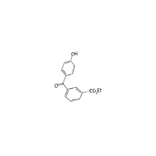 CCOC(=O)c1cccc(C(=O)c2ccc(O)cc2)c1